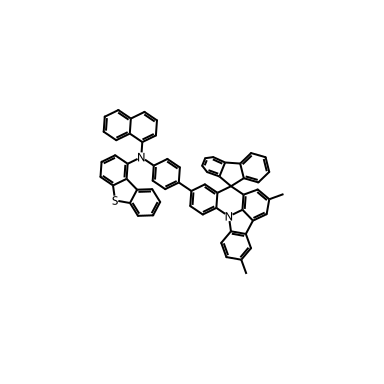 Cc1ccc2c(c1)c1cc(C)cc3c1n2-c1ccc(-c2ccc(N(c4cccc5ccccc45)c4cccc5sc6ccccc6c45)cc2)cc1C31c2ccccc2-c2ccccc21